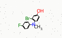 CN(c1ccc(F)cc1)c1ccc(O)cc1Br